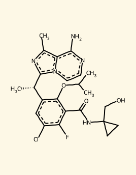 Cc1nc([C@@H](C)c2cc(Cl)c(F)c(C(=O)NC3(CO)CC3)c2OC(C)C)n2ccnc(N)c12